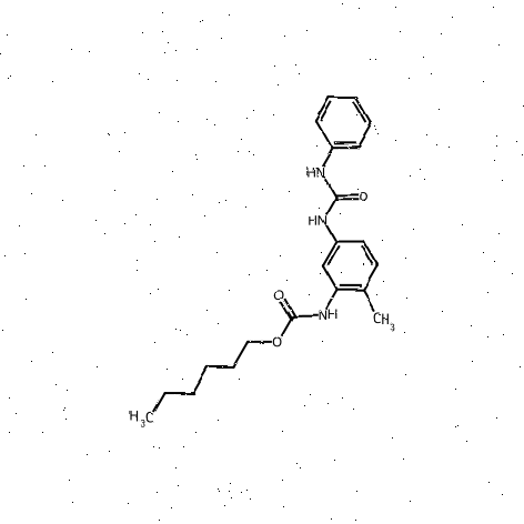 CCCCCCOC(=O)Nc1cc(NC(=O)Nc2ccccc2)ccc1C